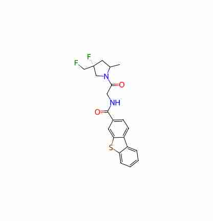 CC1C[C@](F)(CF)CN1C(=O)CNC(=O)c1ccc2c(c1)sc1ccccc12